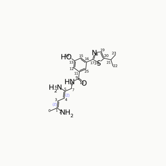 C/C(N)=C/C=C(\N)CNC(=O)c1cc(O)cc(-c2ncc(C(C)C)s2)c1